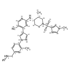 Cc1nc(CNC(C)C)ccc1-n1cc(-c2nc(N[C@H]3CCN(S(=O)(=O)c4cn(C)cn4)C[C@H]3C)ncc2C#N)cn1